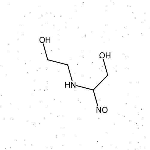 O=NC(CO)NCCO